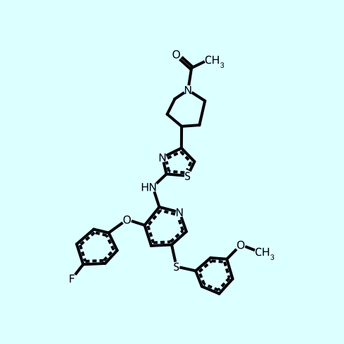 COc1cccc(Sc2cnc(Nc3nc(C4CCN(C(C)=O)CC4)cs3)c(Oc3ccc(F)cc3)c2)c1